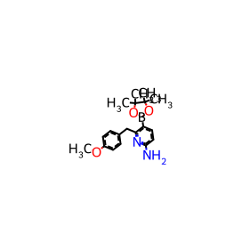 COc1ccc(Cc2nc(N)ccc2B2OC(C)(C)C(C)(C)O2)cc1